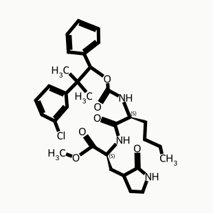 CCCC[C@H](NC(=O)OC(c1ccccc1)C(C)(C)c1cccc(Cl)c1)C(=O)N[C@@H](CC1CCNC1=O)C(=O)OC